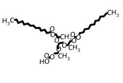 CCCCCCCCCCCCCC(=O)OCC(C)OC(COC(C)COC(=O)O)COC(C)COC(=O)OCCCCCCCCCCCC